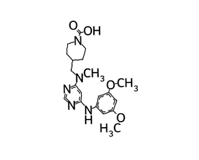 COc1cc(Nc2cc(N(C)CC3CCN(C(=O)O)CC3)ncn2)cc(OC)c1